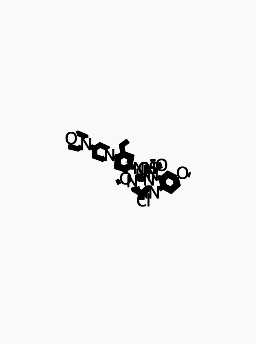 CCc1cc(Nc2ncc(Cl)c(Nc3ccc(OC)cc3NS(C)(=O)=O)n2)c(OC)cc1N1CCC(N2CCOCC2)CC1